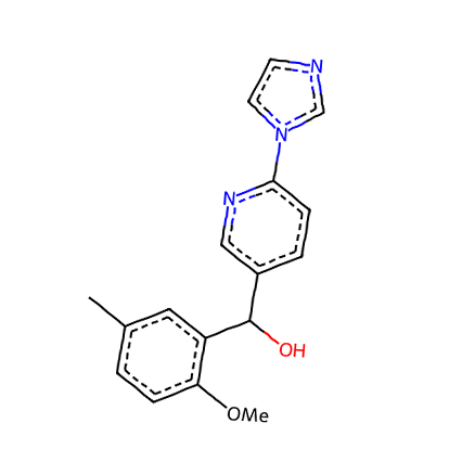 COc1ccc(C)cc1C(O)c1ccc(-n2ccnc2)nc1